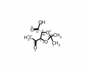 CC(=O)C1OC(C)(C)O[C@H]1C(=O)O